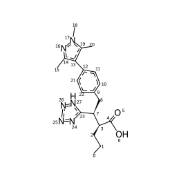 CCC[C@H](C(=O)O)[C@H](Cc1ccc(-c2c(C)nn(C)c2C)cc1)c1nnn[nH]1